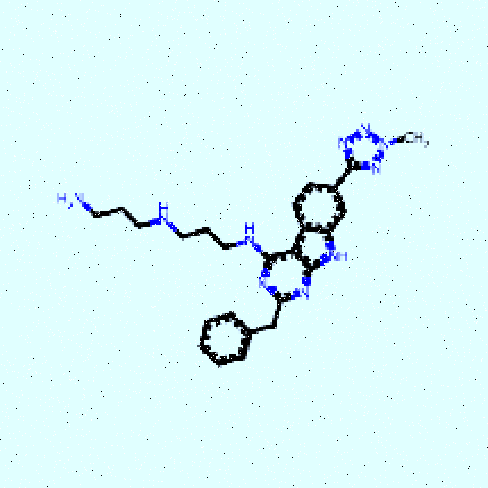 Cn1nnc(-c2ccc3c(c2)[nH]c2nc(Cc4ccccc4)nc(NCCCNCCCN)c23)n1